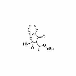 CCCCOC(C)C(C(=O)c1ccccc1)S([NH])(=O)=O